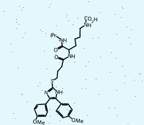 COc1ccc(-c2nc(SCCCC(=O)NC(CCCCNC(=O)O)C(=O)NC(C)C)[nH]c2-c2ccc(OC)cc2)cc1